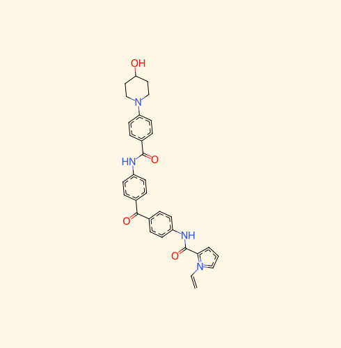 C=Cn1cccc1C(=O)Nc1ccc(C(=O)c2ccc(NC(=O)c3ccc(N4CCC(O)CC4)cc3)cc2)cc1